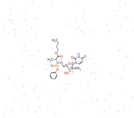 CCCCOC(=O)C(C)N(OC[C@H]1O[C@@H](n2ccc(=O)[nH]c2=O)[C@](C)(F)[C@@H]1O)[PH](=O)Oc1ccccc1